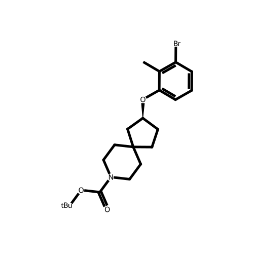 Cc1c(Br)cccc1O[C@H]1CCC2(CCN(C(=O)OC(C)(C)C)CC2)C1